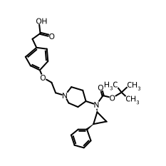 CC(C)(C)OC(=O)N(C1CCN(CCOc2ccc(CC(=O)O)cc2)CC1)[C@@H]1C[C@H]1c1ccccc1